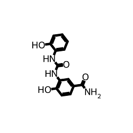 NC(=O)c1ccc(O)c(NC(=O)Nc2ccccc2O)c1